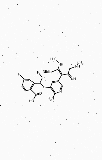 CNCC(=N)/C(=C(/C#N)NC)c1cnc(N)c(OC(CF)c2cc(F)ccc2C(=O)O)c1